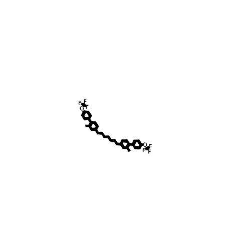 Cc1cc(CCCCCCCc2ccc(-c3ccc(OC(F)(F)F)cc3)c(C)c2)ccc1-c1ccc(OC(F)(F)F)cc1